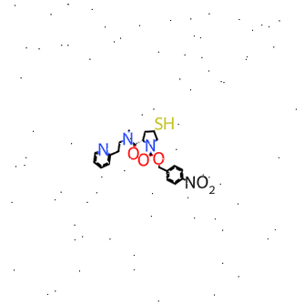 CN(CCc1ccccn1)C(=O)[C@@H]1C[C@H](S)CN1C(=O)OCc1ccc([N+](=O)[O-])cc1